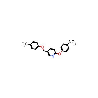 O=[N+]([O-])c1ccc(Oc2ccc(COc3ccc(C(F)(F)F)cc3)cn2)cc1